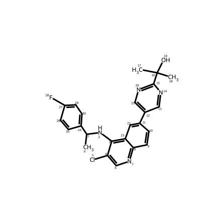 CC(Nc1c(Cl)cnc2ccc(-c3cnc(C(C)(C)O)nc3)cc12)c1ccc(F)cc1